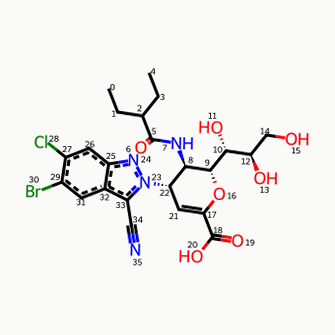 CCC(CC)C(=O)N[C@H]1[C@H]([C@H](O)[C@H](O)CO)OC(C(=O)O)=C[C@@H]1n1nc2cc(Cl)c(Br)cc2c1C#N